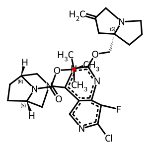 C=C1CN2CCC[C@@]2(COc2nc(N3C[C@H]4CC[C@@H](C3)N4C(=O)OC(C)(C)C)c3cnc(Cl)c(F)c3n2)C1